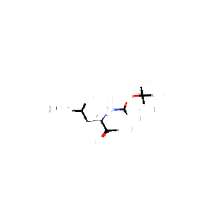 CC(=O)[C@@H](CC(C)C)NC(C)OC(C)(C)C